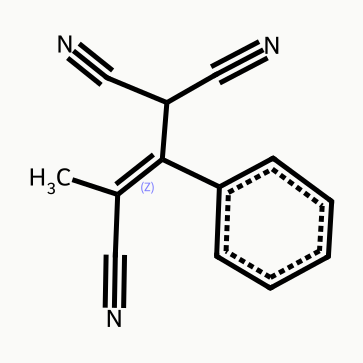 C/C(C#N)=C(/c1ccccc1)C(C#N)C#N